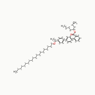 CCCCCCCCCCCCCCCCCCCCOC(C)c1ccc(-c2ccc(-c3ccccc3C(=O)OC(CCC)CCCC)cc2)cc1